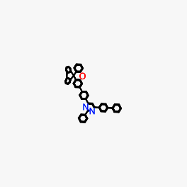 c1ccc(-c2ccc(-c3cc(-c4ccc(-c5ccc6c(c5)Oc5ccccc5C65c6ccccc6-c6ccccc65)cc4)nc(-c4ccccc4)n3)cc2)cc1